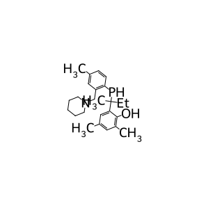 CCC(C)(Pc1ccc(C)cc1CN1CCCCC1)c1cc(C)cc(C)c1O